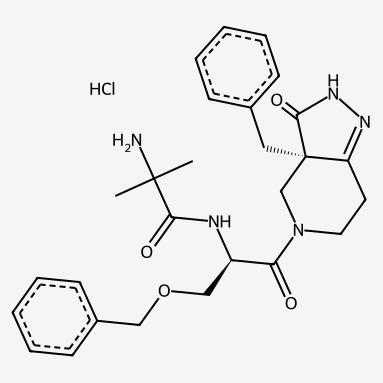 CC(C)(N)C(=O)N[C@H](COCc1ccccc1)C(=O)N1CCC2=NNC(=O)[C@]2(Cc2ccccc2)C1.Cl